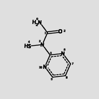 NC(=O)N(S)c1ncccn1